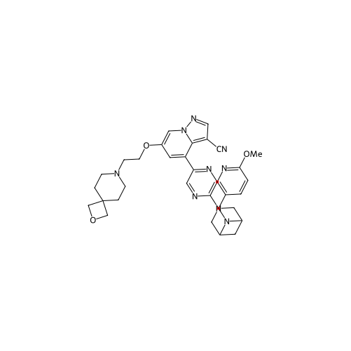 COc1ccc(CN2C3CC2CN(c2cnc(-c4cc(OCCN5CCC6(CC5)COC6)cn5ncc(C#N)c45)cn2)C3)cn1